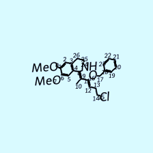 COc1cc2c(cc1OC)/C(=C(\C)C(=CCCCl)OCc1ccccc1)NCC2